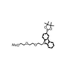 COCCOCCOCCn1c2ccccc2c2cc(B3OC(C)(C)C(C)(C)O3)ccc21